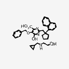 O=C(O)c1nc(CC2(c3cccc4ccccc34)CCCC2)nc(O)c1OCc1ccccc1.OCCNCC1CC1